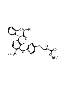 CCC1Oc2ccccc2N(c2ccc(C(=O)O)c(Oc3ccc(CCNC(=O)OC(C)(C)C)cc3)c2C)C1=O